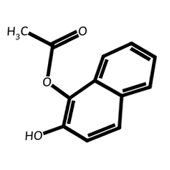 CC(=O)Oc1c(O)ccc2ccccc12